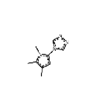 Cc1cc(-n2cnnc2)n(C)c1C